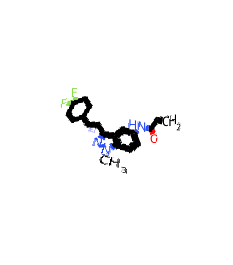 C=CC(=O)Nc1ccc2c(c1)c(/C=C/C1CCC(F)(F)CC1)nn2C